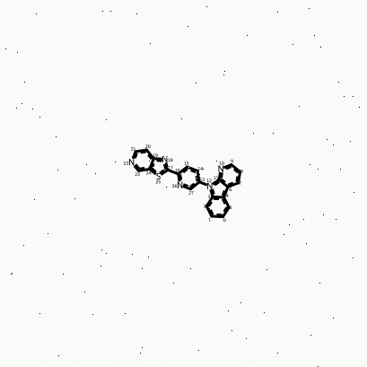 c1ccc2c(c1)c1cccnc1n2-c1ccc(-c2nc3ccncc3s2)nc1